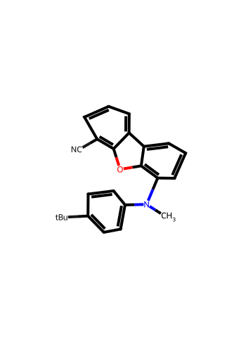 CN(c1ccc(C(C)(C)C)cc1)c1cccc2c1oc1c(C#N)cccc12